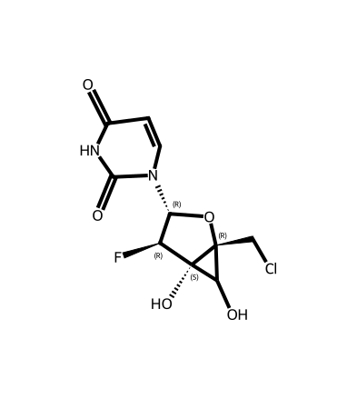 O=c1ccn([C@@H]2O[C@]3(CCl)C(O)[C@@]3(O)[C@H]2F)c(=O)[nH]1